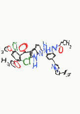 C=CC(=O)Nc1cc(-c2ccn(C)n2)ccc1Nc1ccc2c(C(=O)c3c(Cl)c(OC)cc(OC)c3Cl)c[nH]c2n1